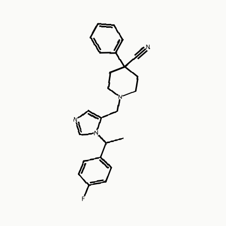 CC(c1ccc(F)cc1)n1cncc1CN1CCC(C#N)(c2ccccc2)CC1